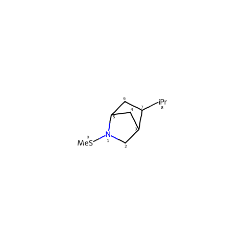 CSN1CC2CC1CC2C(C)C